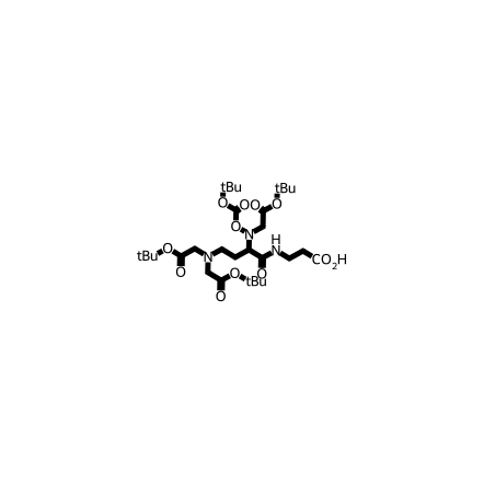 CC(C)(C)OC(=O)CN(CCC(C(=O)NCCC(=O)O)N(CC(=O)OC(C)(C)C)OC(=O)OC(C)(C)C)CC(=O)OC(C)(C)C